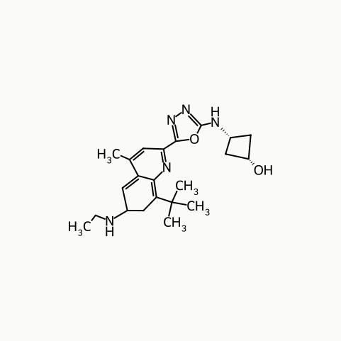 CCNC1C=c2c(C)cc(-c3nnc(N[C@H]4C[C@@H](O)C4)o3)nc2=C(C(C)(C)C)C1